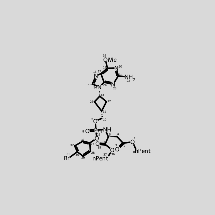 CCCCCOC(=O)C[C@H](NP(=O)(OC[C@H]1C[C@@H](n2cnc3c(OC)nc(N)nc32)C1)Oc1ccc(Br)cc1)C(=O)OCCCCC